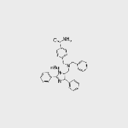 CCCCN1C(c2ccccc2)=NC(c2ccccc2)C1CN(Cc1ccccc1)Cc1ccc(C(N)=O)cc1